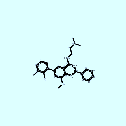 COc1cc(-c2cccc(F)c2F)cc2c(NCCN(C)C)nc(-c3cccnc3)nc12